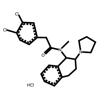 CN(C(=O)Cc1ccc(Cl)c(Cl)c1)C1c2ccccc2CCC1N1CCCC1.Cl